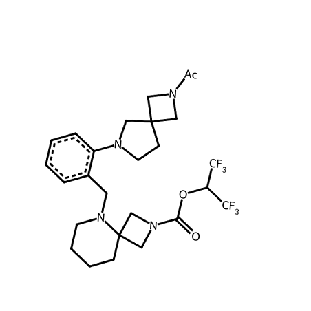 CC(=O)N1CC2(CCN(c3ccccc3CN3CCCCC34CN(C(=O)OC(C(F)(F)F)C(F)(F)F)C4)C2)C1